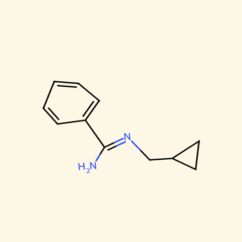 N/C(=N\CC1CC1)c1ccccc1